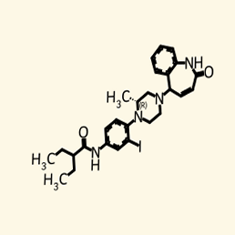 CCC(CC)C(=O)Nc1ccc(N2CCN(C3C=CC(=O)Nc4ccccc43)C[C@H]2C)c(I)c1